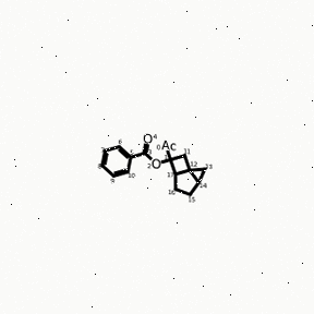 CC(=O)C1(OC(=O)c2ccccc2)CC23CC2CCC13